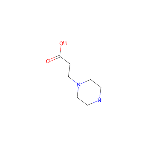 O=C(O)CCN1CC[N]CC1